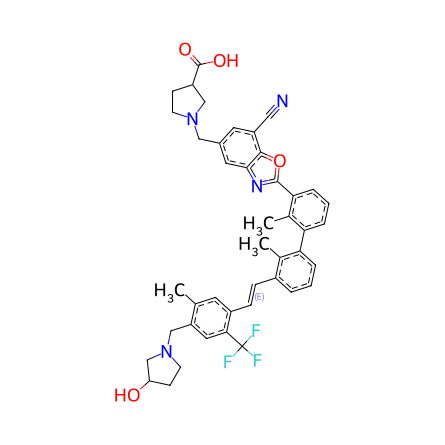 Cc1cc(/C=C/c2cccc(-c3cccc(-c4nc5cc(CN6CCC(C(=O)O)C6)cc(C#N)c5o4)c3C)c2C)c(C(F)(F)F)cc1CN1CCC(O)C1